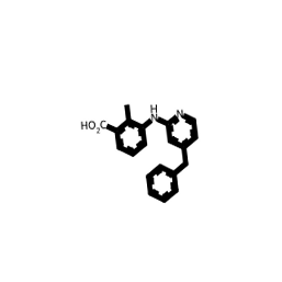 Cc1c(Nc2cc(Cc3ccccc3)ccn2)cccc1C(=O)O